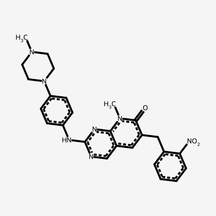 CN1CCN(c2ccc(Nc3ncc4cc(Cc5ccccc5[N+](=O)[O-])c(=O)n(C)c4n3)cc2)CC1